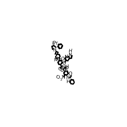 COc1nc2[nH]ccc2cc1Oc1cc(N2CCC3(CC2)CC(N2CCC[C@@H]2c2ccccc2C(C)C)C3)ccc1C(=O)NS(=O)(=O)c1cc2c(c([N+](=O)[O-])c1)N[C@@H](C1CCCCC1)CO2